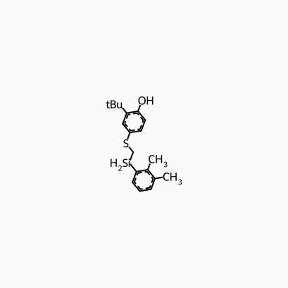 Cc1cccc([SiH2]CSc2ccc(O)c(C(C)(C)C)c2)c1C